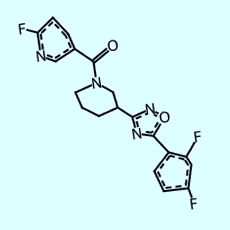 O=C(c1ccc(F)nc1)N1CCCC(c2noc(-c3ccc(F)cc3F)n2)C1